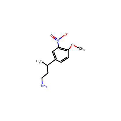 COc1ccc(C(C)CCN)cc1[N+](=O)[O-]